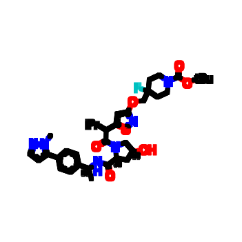 CC(C)C(C(=O)N1C[C@H](O)C[C@H]1C(=O)N[C@@H](C)c1ccc(-c2ccnn2C)cc1)c1cc(OCC2(F)CCN(C(=O)OC(C)(C)C)CC2)no1